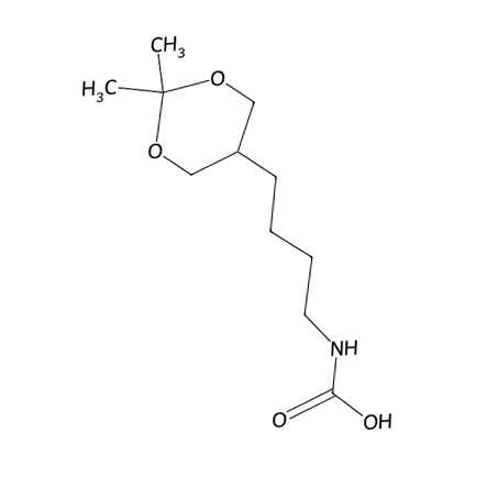 CC1(C)OCC(CCCCNC(=O)O)CO1